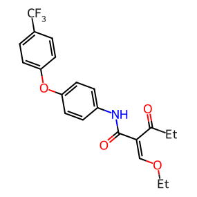 CCOC=C(C(=O)CC)C(=O)Nc1ccc(Oc2ccc(C(F)(F)F)cc2)cc1